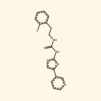 Fc1ccccc1CCNC(=S)Nc1nc(-c2cccnc2)cs1